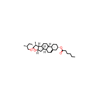 CCCCCC(=O)O[C@H]1CC[C@@]2(C)C(=CC[C@H]3[C@@H]4C[C@@H]5O[C@]6(CC[C@H](C)CO6)[C@@H](C)[C@@H]5[C@@]4(C)CC[C@@H]32)C1